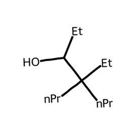 CCCC(CC)(CCC)C(O)CC